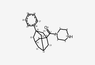 O=C(N1CCNCC1)C12CC3CC(C1)CC(c1ccccc1)(C3)C2